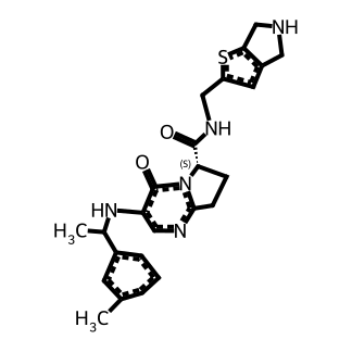 Cc1cccc(C(C)Nc2cnc3n(c2=O)[C@H](C(=O)NCc2cc4c(s2)CNC4)CC3)c1